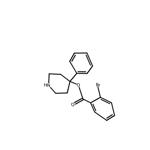 O=C(OC1(c2ccccc2)CCNCC1)c1ccccc1Br